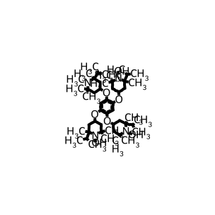 CC(C)C1(C)CC(Oc2cc(OC3CC(C)(C)N(O)C(C)(C(C)C)C3)c(OC3CC(C)(C)N(O)C(C)(C(C)C)C3)cc2OC2CC(C)(C)N(O)C(C)(C(C)C)C2)CC(C)(C)N1C